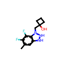 Cc1cc2c(c(F)c1F)N(CC1(O)CCC1)NN2